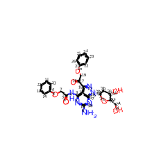 Nc1nc(NC(=O)COc2ccccc2)c2c(C(=O)COc3ccccc3)nn([C@@H]3C[C@H](O)[C@@H](CO)O3)c2n1